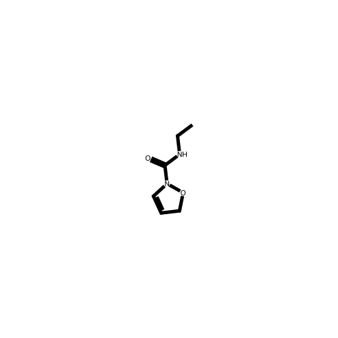 CCNC(=O)N1C=CCO1